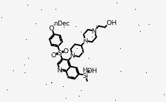 CCCCCCCCCCOc1ccc(S(=O)(=O)c2cnc3ccc([SiH](C)O)cc3c2N2CCC(N3CCN(CCO)CC3)CC2)cc1